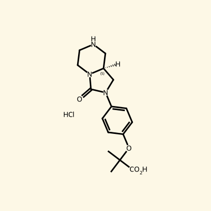 CC(C)(Oc1ccc(N2C[C@@H]3CNCCN3C2=O)cc1)C(=O)O.Cl